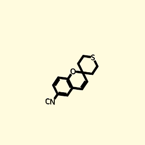 [C-]#[N+]c1ccc2c(c1)C=CC1(CCSCC1)O2